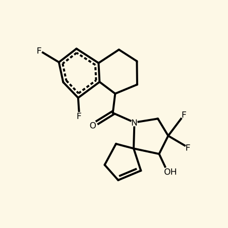 O=C(C1CCCc2cc(F)cc(F)c21)N1CC(F)(F)C(O)C12C=CCC2